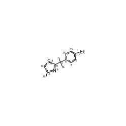 CCc1ccc(C(C)(C)c2nc(C)cs2)cc1